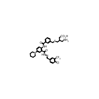 NCC(CSCc1cccc(C(=O)Nc2ccc(N3CCCCC3)cc2C(=O)NN=Cc2ccc(Cl)c(C(F)(F)F)c2)c1)CC(=O)O